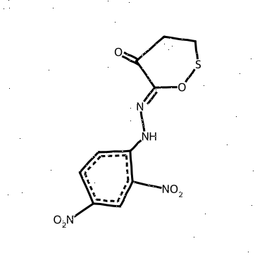 O=C1CCSOC1=NNc1ccc([N+](=O)[O-])cc1[N+](=O)[O-]